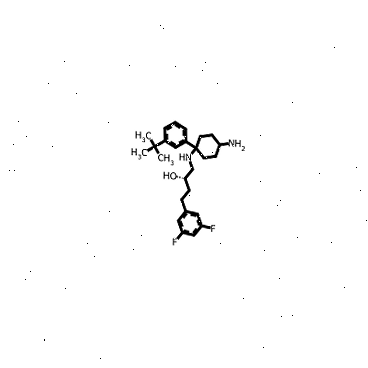 CC(C)(C)c1cccc(C2(NC[C@@H](O)CCc3cc(F)cc(F)c3)CCC(N)CC2)c1